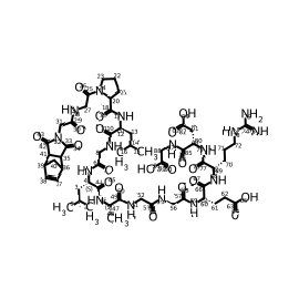 CC(C)C[C@H](NC(=O)CNC(=O)[C@H](CC(C)C)NC(=O)C1CCCN1C(=O)CNC(=O)CN1C(=O)C2C3C=CC(C3)C2C1=O)C(=O)N[C@@H](C)C(=O)NCC(=O)NCC(=O)N[C@@H](CCC(=O)O)C(=O)N[C@@H](CCCNC(=N)N)C(=O)N[C@@H](CC(=O)O)C(=O)NCC(=O)O